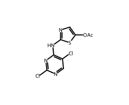 CC(=O)Oc1cnc(Nc2nc(Cl)ncc2Cl)s1